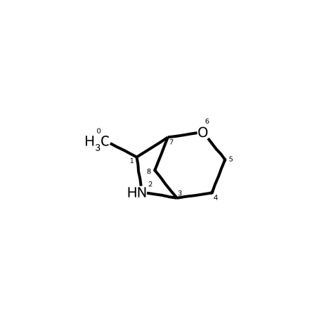 CC1NC2CCOC1C2